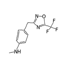 CNc1ccc(Cc2noc(C(F)(F)F)n2)cc1